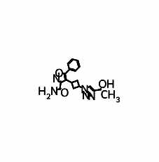 C[C@@H](O)c1cn(C2CC(c3c(C(N)=O)noc3-c3ccccc3)C2)nn1